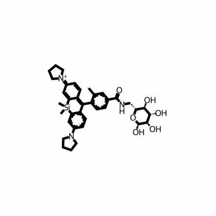 Cc1cc(C(=O)NC[C@H]2O[C@H](O)[C@H](O)[C@@H](O)[C@@H]2O)ccc1C1=C2C=CC(=[N+]3CCCC3)C=C2[Si](C)(C)c2cc(N3CCCC3)ccc21